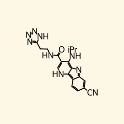 CC(C)Nc1c(C(=O)NCCc2nnn[nH]2)c[nH]c2c3ccc(C#N)cc3nc1-2